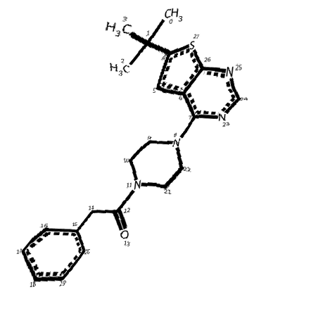 CC(C)(C)c1cc2c(N3CCN(C(=O)Cc4ccccc4)CC3)ncnc2s1